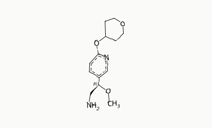 CO[C@@H](CN)c1ccc(OC2CCOCC2)nc1